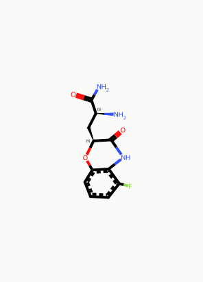 NC(=O)[C@@H](N)C[C@@H]1Oc2cccc(F)c2NC1=O